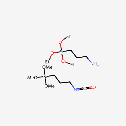 CCO[Si](CCCN)(OCC)OCC.CO[Si](CCCN=C=O)(OC)OC